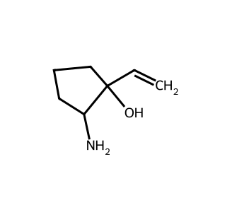 C=CC1(O)CCCC1N